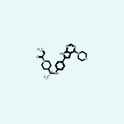 C=CC(=O)N1CCC([C@H](Nc2ccc(-c3cc4c(N5CCOCC5)ncnc4[nH]3)cc2)C(F)(F)F)CC1